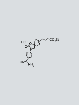 CCOC(=O)CCCN1CCC2(CC1)CN(c1ccc(C(=N)N)cc1)C(=O)O2.Cl